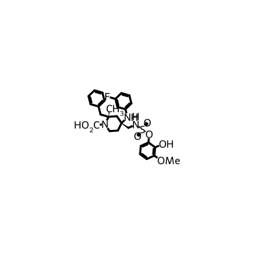 COc1cccc(OS(=O)(=O)NC[C@@]2(Nc3cccc(F)c3)CCN(C(=O)O)[C@@](C)(Cc3ccccc3)C2)c1O